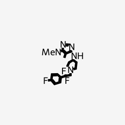 CNc1ncnc(NC2CCN(CC(F)(F)c3ccc(F)cc3)CC2)c1C